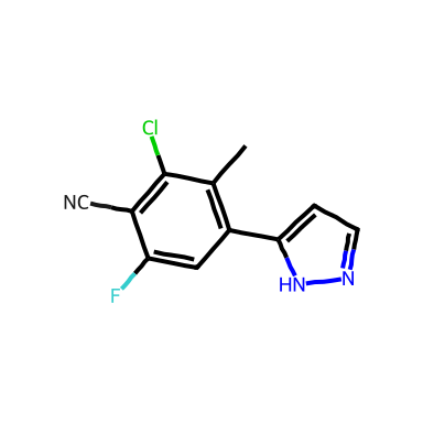 Cc1c(-c2ccn[nH]2)cc(F)c(C#N)c1Cl